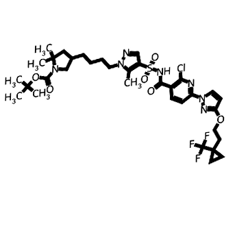 Cc1c(S(=O)(=O)NC(=O)c2ccc(-n3ccc(OCCC4(C(F)(F)F)CC4)n3)nc2Cl)cnn1CCCCC1CN(C(=O)OC(C)(C)C)C(C)(C)C1